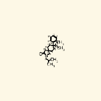 CC(C)CN1CC2(CCC(c3ccccc3)(N(C)C)CC2)CC1=O